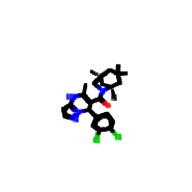 CC1=C(C(=O)N2C[C@]3(C)C[C@H]2CC(C)(C)C3)C(c2ccc(Cl)c(Cl)c2)n2nccc2N1